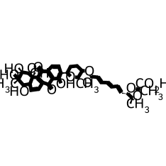 C[C@@H]1O[C@](C)(C(=O)O)O[C@H]1/C=C/C=C/C=C/C(=O)OC1CC[C@H](c2ccc3c(c2O)C(=O)C2=C(C3=O)[C@@]3(O)C(=O)[C@H](O)[C@@](C)(O)C[C@@]3(O)C=C2)O[C@@H]1C